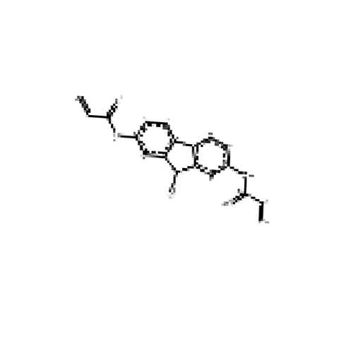 C=CC(=O)Oc1ccc2c(c1)C(Cl)c1cc(OC(=O)C=C)ccc1-2